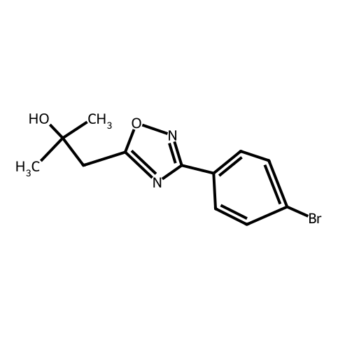 CC(C)(O)Cc1nc(-c2ccc(Br)cc2)no1